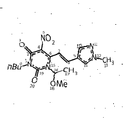 CCCCn1c(=O)c([N+](=O)[O-])c(C=Cc2cnn(C)c2)n(C(C)OC)c1=O